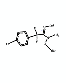 CN(OC(C)(C)C)/C(=N\O)C(F)(F)c1ccc(Cl)cc1